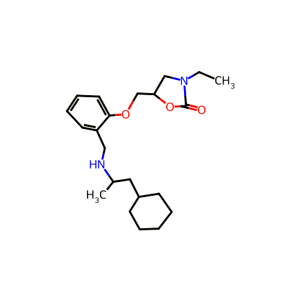 CCN1CC(COc2ccccc2CNC(C)CC2CCCCC2)OC1=O